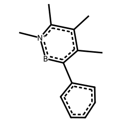 Cc1c(-c2ccccc2)b[n+](C)c(C)c1C